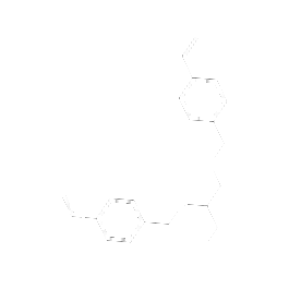 C=Cc1ccc(CSCC(CO)SCc2ccc(C=C)cc2)cc1